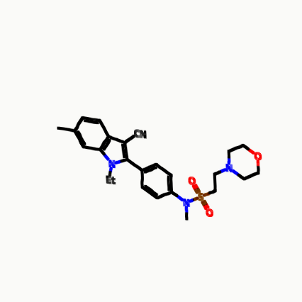 CCn1c(-c2ccc(N(C)S(=O)(=O)CCN3CCOCC3)cc2)c(C#N)c2ccc(C)cc21